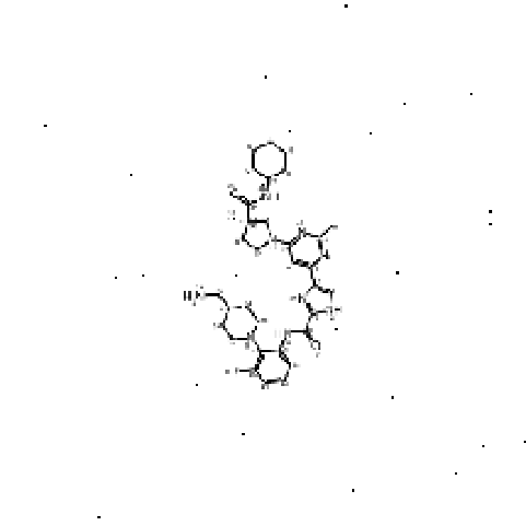 Cc1nc(-c2c[nH]c(C(=O)Nc3cccc(F)c3N3CCC(CN)CC3)n2)cc(N2CC[C@@](C)(C(=O)NC3CCCCC3)C2)n1